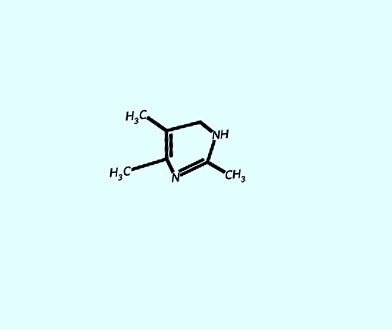 CC1=NC(C)=C(C)CN1